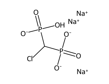 O=P([O-])([O-])C(Cl)P(=O)([O-])O.[Na+].[Na+].[Na+]